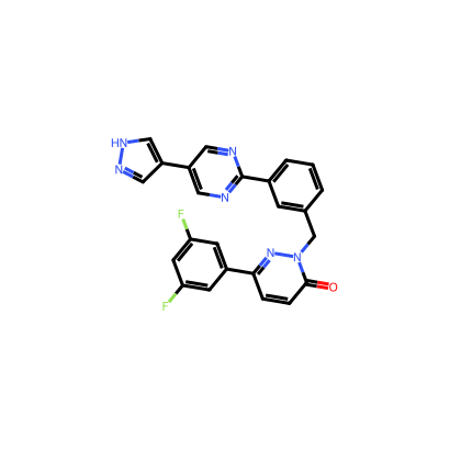 O=c1ccc(-c2cc(F)cc(F)c2)nn1Cc1cccc(-c2ncc(-c3cn[nH]c3)cn2)c1